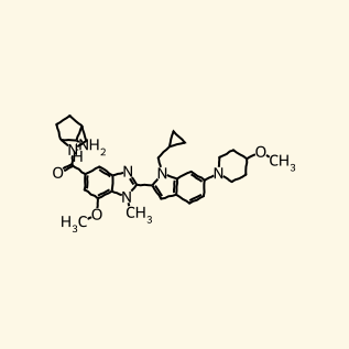 COc1cc(C(=O)N2CC3CCC2[C@@H]3N)cc2nc(-c3cc4ccc(N5CCC(OC)CC5)cc4n3CC3CC3)n(C)c12